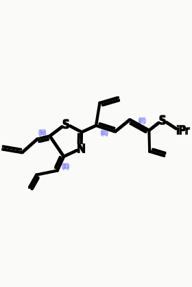 C=C/C=c1/nc(/C(C=C)=C/C=C(\C=C)SC(C)C)s/c1=C/C=C